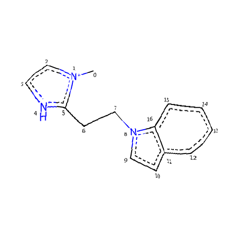 C[n+]1cc[nH]c1CCn1ccc2ccccc21